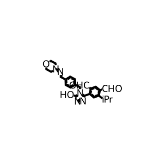 CC(C)c1cc(-c2nnc(O)n2Cc2ccc(/C=N/N3CCOCC3)cc2)c(C=O)cc1C=O